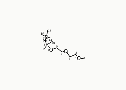 COCCOCCOP(C)(C)=N[Si](C)(C)C